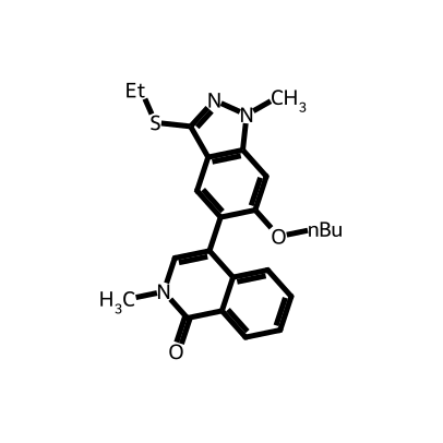 CCCCOc1cc2c(cc1-c1cn(C)c(=O)c3ccccc13)c(SCC)nn2C